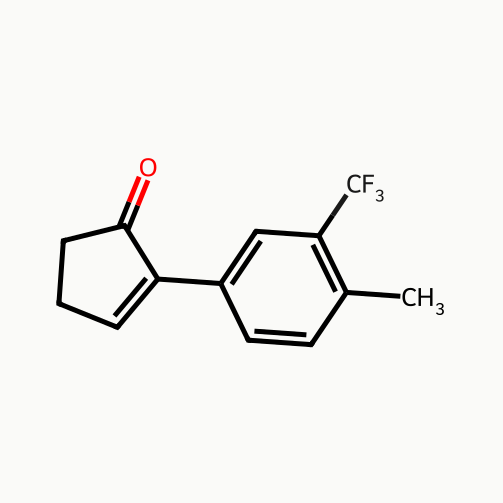 Cc1ccc(C2=CCCC2=O)cc1C(F)(F)F